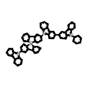 c1ccc(-n2c3ccccc3c3cc(-c4ccc5c(c4)c4ccccc4n5-c4ccc5c(c4)-c4ccccc4[Si]54c5ccccc5-c5cc(-n6c7ccccc7c7ccccc76)ccc54)ccc32)cc1